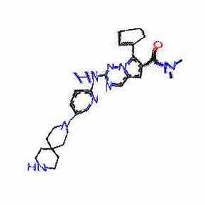 CN(C)C(=O)c1cc2cnc(Nc3ccc(N4CCC5(CCNCC5)CC4)cn3)nn2c1C1=CCCC1